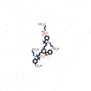 CN(CCCC(=O)O)S(=O)(=O)c1ccc2c(c1)C(C)(C)/C(=C\C=C1C=C(/C=C/C3(C)N(CCCS(=O)(=O)O)c4ccc(S(=O)(=O)O)cc4C3(C)C)CC(C(=O)C(F)(F)F)(c3ccccc3)C\1)N2CCCS(=O)(=O)O